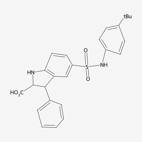 CC(C)(C)c1ccc(NS(=O)(=O)c2ccc3c(c2)C(c2ccccc2)C(C(=O)O)N3)cc1